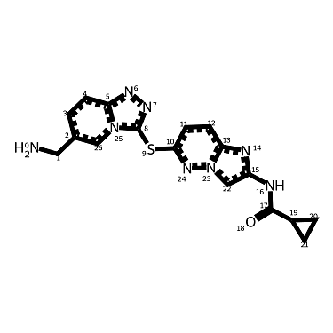 NCc1ccc2nnc(Sc3ccc4nc(NC(=O)C5CC5)cn4n3)n2c1